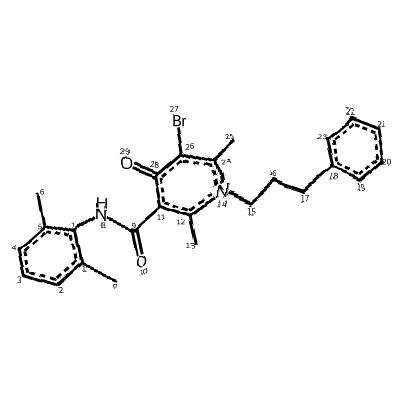 Cc1cccc(C)c1NC(=O)c1c(C)n(CCCc2ccccc2)c(C)c(Br)c1=O